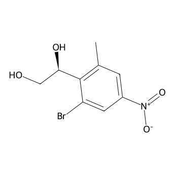 Cc1cc([N+](=O)[O-])cc(Br)c1[C@H](O)CO